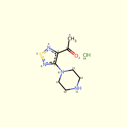 CC(=O)c1nsnc1N1CCNCC1.Cl